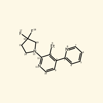 CCc1c(-c2ccccn2)ccnc1N1CCC(F)(F)C1